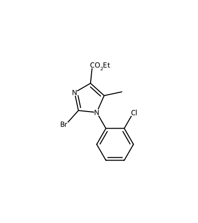 CCOC(=O)c1nc(Br)n(-c2ccccc2Cl)c1C